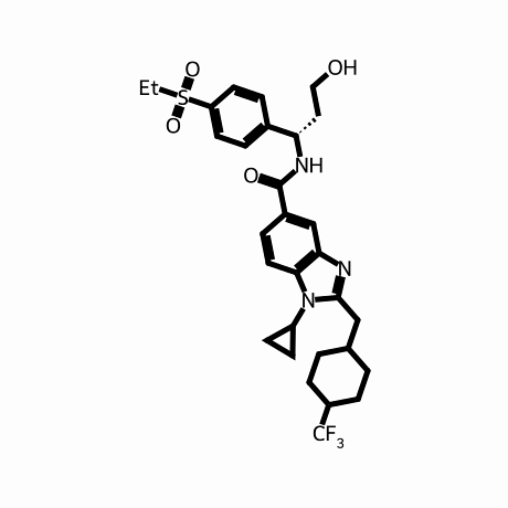 CCS(=O)(=O)c1ccc([C@H](CCO)NC(=O)c2ccc3c(c2)nc(CC2CCC(C(F)(F)F)CC2)n3C2CC2)cc1